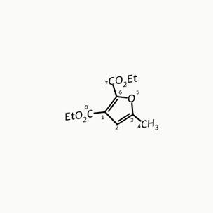 CCOC(=O)c1cc(C)oc1C(=O)OCC